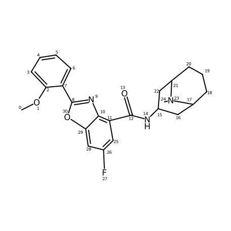 COc1ccccc1-c1nc2c(C(=O)NC3CC4CCCC(C3)N4C)cc(F)cc2o1